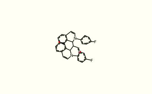 O=[C]C(C1c2ccccc2C=CN1c1ccc(F)cc1)C1c2ccccc2C=CN1c1ccc(F)cc1